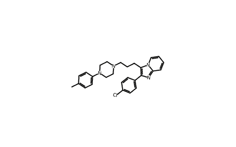 Cc1ccc(N2CCN(CCCc3c(-c4ccc(Cl)cc4)nc4ccccn34)CC2)cc1